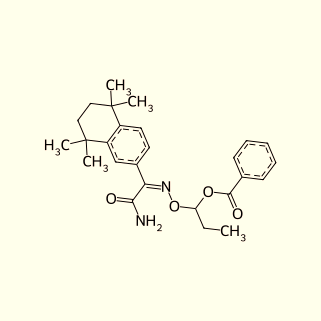 CCC(ON=C(C(N)=O)c1ccc2c(c1)C(C)(C)CCC2(C)C)OC(=O)c1ccccc1